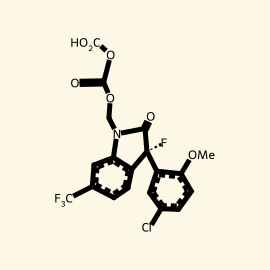 COc1ccc(Cl)cc1[C@]1(F)C(=O)N(COC(=O)OC(=O)O)c2cc(C(F)(F)F)ccc21